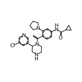 C=C(c1ccc(NC(=O)C2CC2)cc1N1CCCC1)N1CCNCC1c1cncc(Cl)c1